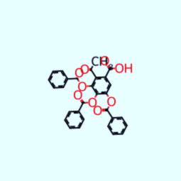 CC(=O)c1c(C(=O)O)cc(OC(=O)c2ccccc2)c(OC(=O)c2ccccc2)c1OC(=O)c1ccccc1